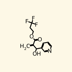 C=C(C(=O)OCCC(F)(F)F)C(O)c1cccnc1